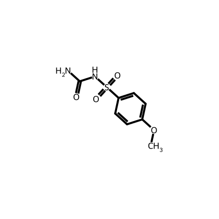 COc1ccc(S(=O)(=O)NC(N)=O)cc1